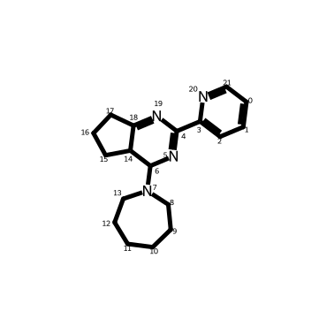 c1ccc(C2=NC(N3CCCCCC3)C3CCCC3=N2)nc1